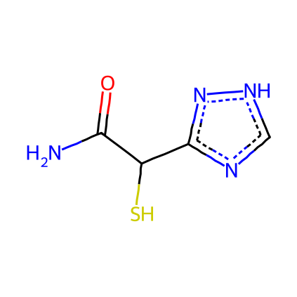 NC(=O)C(S)c1nc[nH]n1